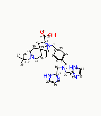 CC1N(Cc2ccc(CN(Cc3ncc[nH]3)Cc3ncc[nH]3)cc2)[C@H](C(=O)O)CC12CCN(CC(C)(C)C)CC2